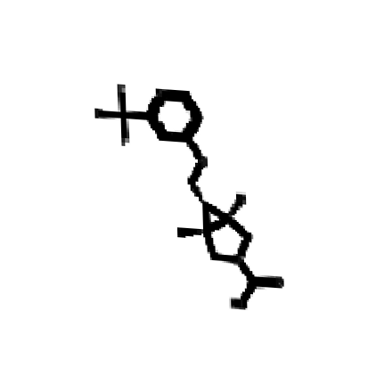 O=C(O)N1C[C@@H]2[C@@H](COc3ccnc(C(F)(F)F)c3)[C@@H]2C1